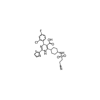 N#CCCS(=O)(=O)NC1CCC(C2=C(C(=O)O)C(c3ccc(F)cc3Cl)N=C(c3nccs3)N2)CC1